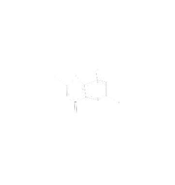 Cc1nc2c(Br)cc(Br)cc2c(=O)o1